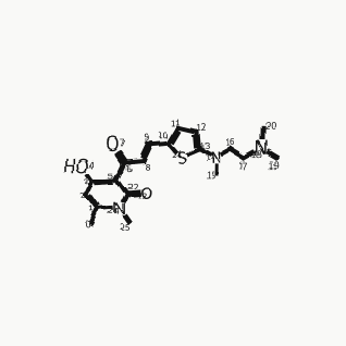 Cc1cc(O)c(C(=O)C=Cc2ccc(N(C)CCN(C)C)s2)c(=O)n1C